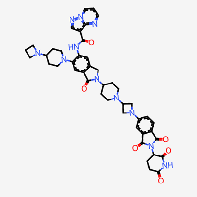 O=C1CCC(N2C(=O)c3ccc(N4CC(N5CCC(N6Cc7cc(NC(=O)c8cnn9cccnc89)c(N8CCC(N9CCC9)CC8)cc7C6=O)CC5)C4)cc3C2=O)C(=O)N1